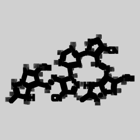 [C-]#[N+]c1cnn(-c2cc(-n3ncc(C#N)c3/N=N/c3c(C(C)(C)C)nn4nc(C)[nH]c34)ncn2)c1/N=N/c1c(C(C)(C)C)nn2nc(C)[nH]c12